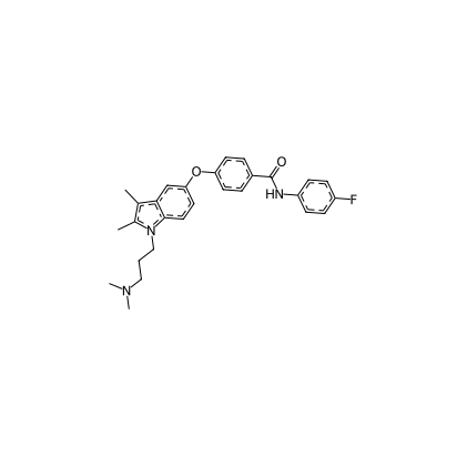 Cc1c(C)n(CCCN(C)C)c2ccc(Oc3ccc(C(=O)Nc4ccc(F)cc4)cc3)cc12